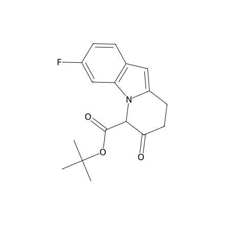 CC(C)(C)OC(=O)C1C(=O)CCc2cc3ccc(F)cc3n21